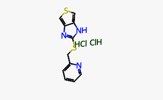 Cl.Cl.c1ccc(CSc2nc3cscc3[nH]2)nc1